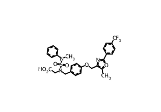 Cc1oc(-c2ccc(C(F)(F)F)cc2)nc1COc1ccc(CN(CC(=O)O)S(=O)(=O)N(C)c2ccccc2)cc1